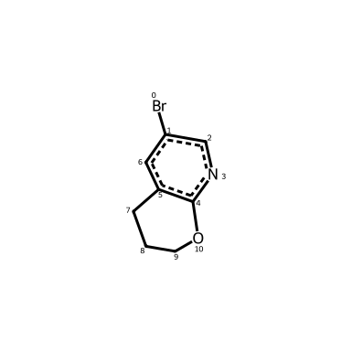 Brc1cnc2c(c1)CCCO2